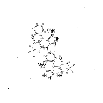 CCc1[nH]nc2c1C(c1ccc(N3C4=C(C(=O)CC(C)(C)C4)C(c4ccccc4OC)c4c3n[nH]c4C(C)C)cc1OC)C1=C(CC(C)(C)CC1=O)N2